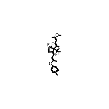 C=C/C(=C\C=C(/C)Oc1ccc(C)cc1)C(/C(C)=C/C=C(\C)OC)(C(F)(F)F)C(F)(F)F